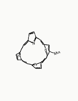 [Mn][C]1=CC2=CC3=NC(=CC4=NC(=CC5=NC(=CC1=N2)C=C5)C=C4)C=C3